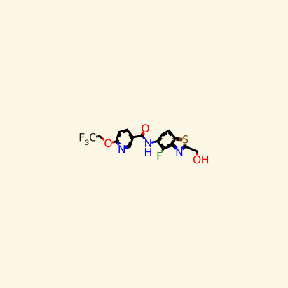 O=C(Nc1ccc2sc(CO)nc2c1F)c1ccc(OCC(F)(F)F)nc1